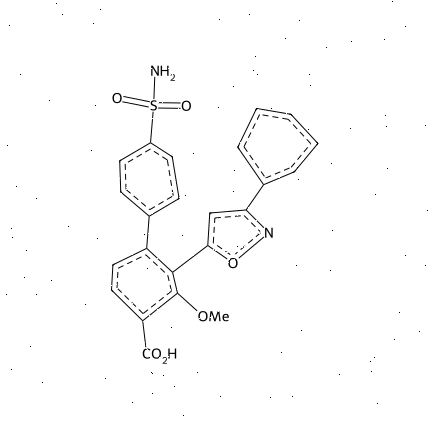 COc1c(C(=O)O)ccc(-c2ccc(S(N)(=O)=O)cc2)c1-c1cc(-c2ccccc2)no1